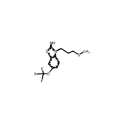 CSCCCn1c(=N)sc2cc(OC(F)(F)F)ccc21